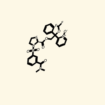 CN(C)C(=O)c1cccc(S(=O)(=O)N2CCS[C@H]2C(=O)OCC(OC(F)F)(c2ccccc2)c2cccc[n+]2[O-])c1